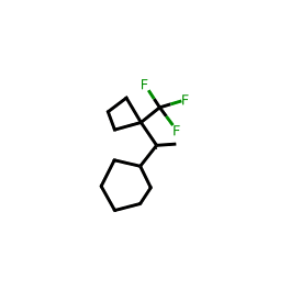 C[C](C1CCCCC1)C1(C(F)(F)F)CCC1